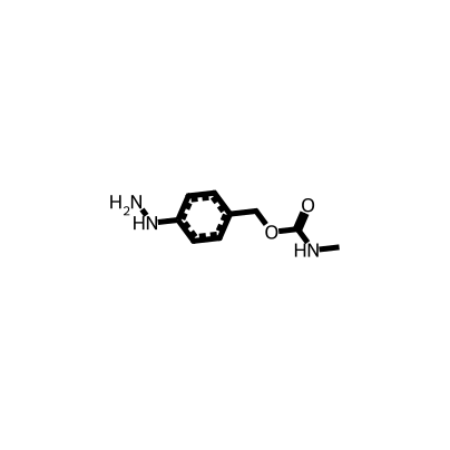 CNC(=O)OCc1ccc(NN)cc1